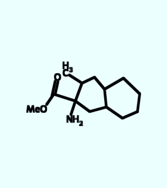 COC(=O)C1(N)CC2CCCCC2CC1C